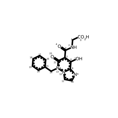 O=C(O)CNC(=O)c1c(O)c2nccn2n(Cc2ccccc2)c1=O